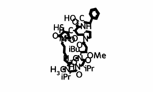 CC[C@H](C)[C@@H]([C@@H](CC(=O)N1CCC[C@H]1[C@H](OC)[C@@H](C)C(=O)N[C@@H](Cc1ccccc1)C(=O)O)OC)N(C)C(=O)[C@@H](NC(=O)[C@H](C(C)C)N(C)C(=O)CCCCCN1C(=O)CC(S)C1=O)C(C)C